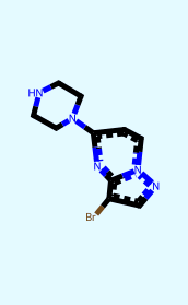 Brc1cnn2ccc(N3CCNCC3)nc12